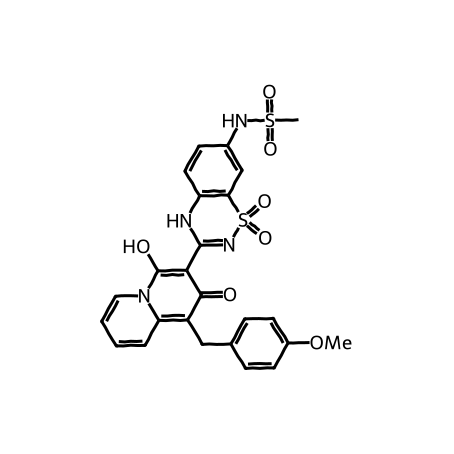 COc1ccc(Cc2c(=O)c(C3=NS(=O)(=O)c4cc(NS(C)(=O)=O)ccc4N3)c(O)n3ccccc23)cc1